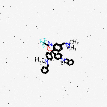 CN(C)Cc1ccc2c(c1)N=C(C(F)(F)F)OC2(c1ccc(N(C)Cc2ccccc2)cc1)c1ccc(N(C)Cc2ccccc2)cc1